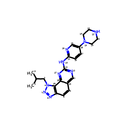 CC(C)Cn1nnc2ccc3cnc(Nc4ccc(N5CCNCC5)cn4)nc3c21